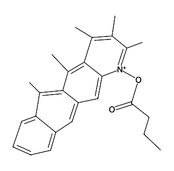 CCCC(=O)O[n+]1c(C)c(C)c(C)c2c(C)c3c(C)c4ccccc4cc3cc21